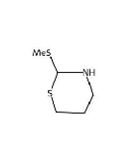 CSC1NCCCS1